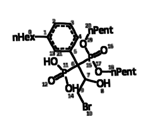 CCCCCCc1cccc(C(C(O)CBr)(P(=O)(O)O)P(=O)(OCCCCC)OCCCCC)c1